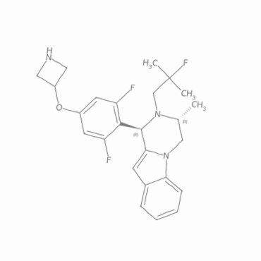 C[C@@H]1Cn2c(cc3ccccc32)[C@@H](c2c(F)cc(OC3CNC3)cc2F)N1CC(C)(C)F